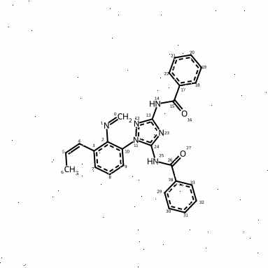 C=Nc1c(/C=C\C)cccc1-n1nc(NC(=O)c2ccccc2)nc1NC(=O)c1ccccc1